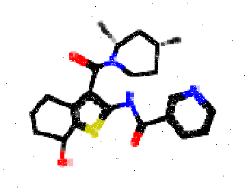 C[C@@H]1CCN(C(=O)c2c(NC(=O)c3cccnc3)sc3c2CCCC3O)[C@H](C)C1